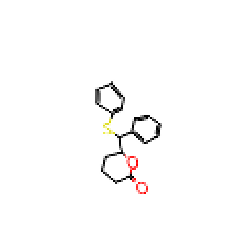 O=C1CCCC(C(Sc2ccccc2)c2ccccc2)O1